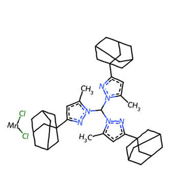 Cc1cc(C23CC4CC(CC(C4)C2)C3)nn1C(n1nc(C23CC4CC(CC(C4)C2)C3)cc1C)n1nc(C23CC4CC(CC(C4)C2)C3)cc1C.[Cl][Mn][Cl]